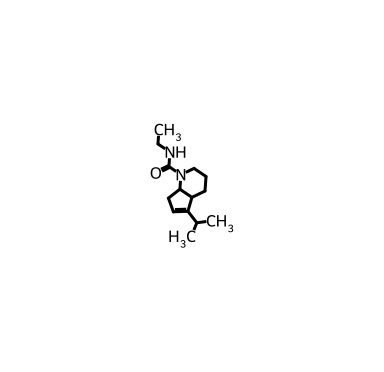 CCNC(=O)N1CCCC2C(C(C)C)=CCC21